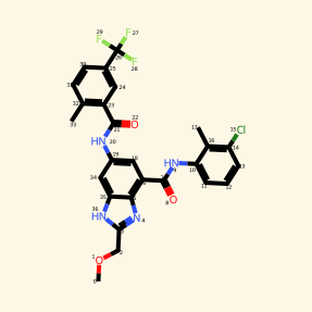 COCc1nc2c(C(=O)Nc3cccc(Cl)c3C)cc(NC(=O)c3cc(C(F)(F)F)ccc3C)cc2[nH]1